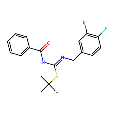 CCC(C)(C)S/C(=N\Cc1ccc(F)c(Br)c1)NC(=O)c1ccccc1